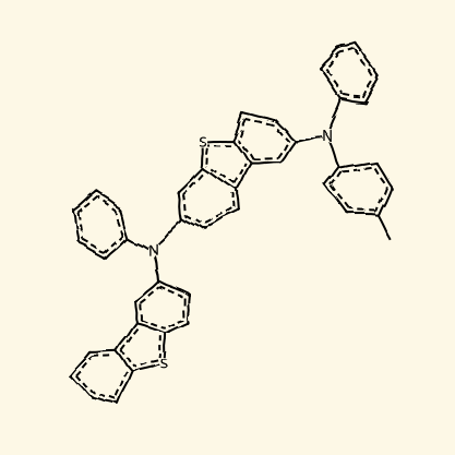 Cc1ccc(N(c2ccccc2)c2ccc3sc4cc(N(c5ccccc5)c5ccc6sc7ccccc7c6c5)ccc4c3c2)cc1